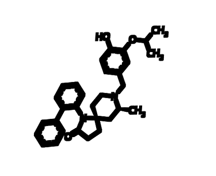 CC(C)Oc1cc(CN2CC[C@]3(CCC(=O)N3c3ccccc3-c3ccccc3)C[C@@H]2C)ccc1O